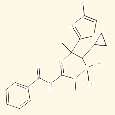 CN1C(NC(=O)c2ccccc2)=NC(C)(c2nc(Br)cs2)C(C2CC2)S1(O)O